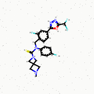 CN1CC2(C1)CN(C(=S)N(Cc1ccc(-c3nnc(C(F)F)o3)cc1F)c1ccc(F)cc1)C2